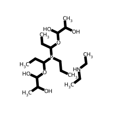 CCCP(C(CC)OC(O)C(C)O)C(CC)OC(O)C(C)O.CCNCC